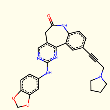 O=C1Cc2cnc(Nc3ccc4c(c3)OCO4)nc2-c2cc(C#CCN3CCCC3)ccc2N1